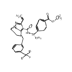 C=Cc1nn2c(c1C(=O)N[C@@H](C)c1ccc(C(=O)OC)cc1)N(Cc1cccc(C(F)(F)F)c1)CC2